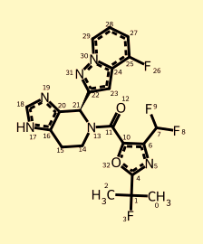 CC(C)(F)c1nc(C(F)F)c(C(=O)N2CCc3[nH]cnc3[C@H]2c2cc3c(F)cccn3n2)o1